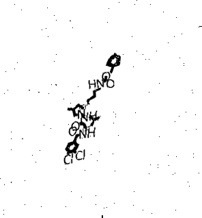 CC(C)C[C@H](NC(=O)c1ccc(Cl)c(Cl)c1)C(=O)NN1CC(C)C[C@@H]1CCCCCNC(=O)OCc1ccccc1